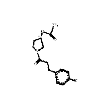 NC(=O)O[C@@H]1CCN(C(=O)[CH]Cc2ccc(F)cc2)C1